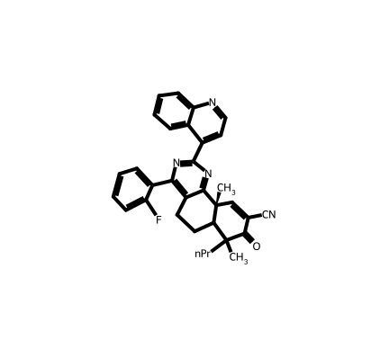 CCCC1(C)C(=O)C(C#N)=C[C@@]2(C)c3nc(-c4ccnc5ccccc45)nc(-c4ccccc4F)c3CCC12